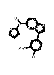 COc1cc(-c2cnc3ccc(N(C)c4cccs4)nn23)ccc1O